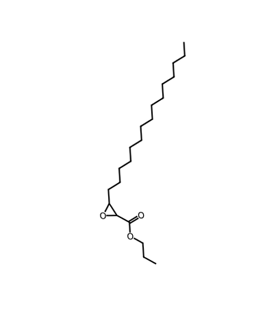 CCCCCCCCCCCCCCCC1OC1C(=O)OCCC